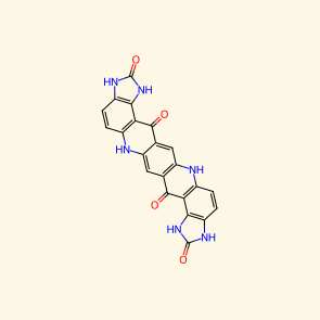 O=c1[nH]c2ccc3[nH]c4cc5c(=O)c6c(ccc7[nH]c(=O)[nH]c76)[nH]c5cc4c(=O)c3c2[nH]1